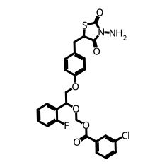 NN1C(=O)SC(Cc2ccc(OCC(OCOC(=O)c3cccc(Cl)c3)c3ccccc3F)cc2)C1=O